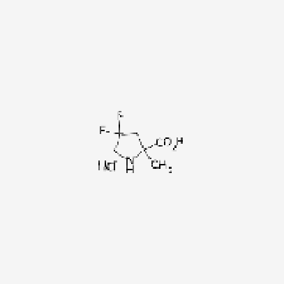 CC1(C(=O)O)CC(F)(F)CN1.Cl